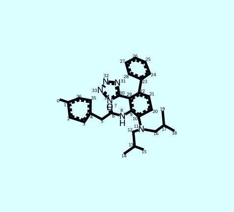 Cc1ccc(CC(=O)Nc2c(N(CC(C)C)CC(C)C)ccc(-c3ccccc3)c2-c2nnn[nH]2)cc1